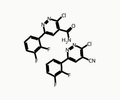 N#Cc1cc(-c2cccc(F)c2F)nnc1Cl.NC(=O)c1cc(-c2cccc(F)c2F)nnc1Cl